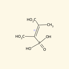 C/C(C(=O)O)=C(/C(=O)O)P(=O)(O)O